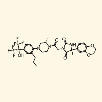 CCCc1cc(C(O)(C(F)(F)F)C(F)(F)F)ccc1N1CCN(C(=O)CN2C(=O)NC(C)(c3ccc4c(c3)OCCO4)C2=O)[C@@H](C)C1